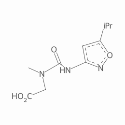 CC(C)c1cc(NC(=O)N(C)CC(=O)O)no1